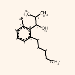 [CH2]CCCCc1cccc(F)c1C(O)C(C)C